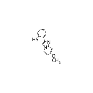 COc1ccn2cc(-c3ccccc3S)nc2c1